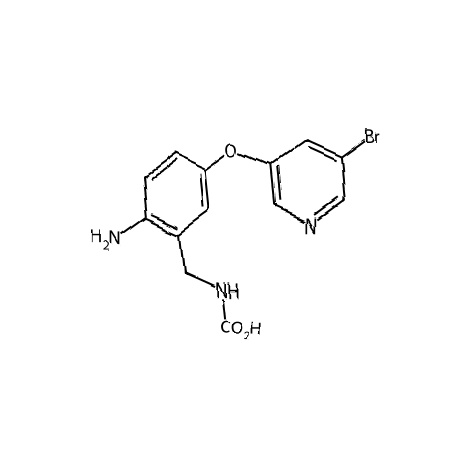 Nc1ccc(Oc2cncc(Br)c2)cc1CNC(=O)O